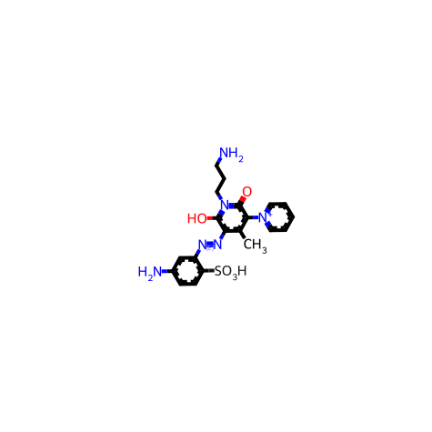 Cc1c(/N=N/c2cc(N)ccc2S(=O)(=O)O)c(O)n(CCCN)c(=O)c1-[n+]1ccccc1